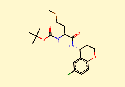 CSCC[C@H](NC(=O)OC(C)(C)C)C(=O)N[C@@H]1CCOc2ccc(F)cc21